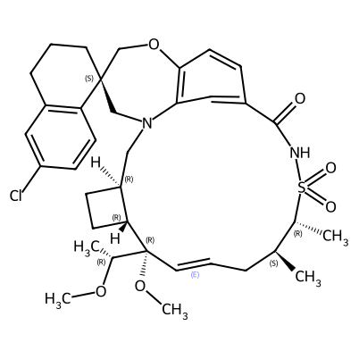 CO[C@H](C)[C@]1(OC)/C=C/C[C@H](C)[C@@H](C)S(=O)(=O)NC(=O)c2ccc3c(c2)N(C[C@@H]2CC[C@H]21)C[C@@]1(CCCc2cc(Cl)ccc21)CO3